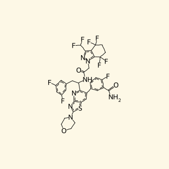 NC(=O)c1cc(-c2cc3sc(N4CCOCC4)nc3nc2C(Cc2cc(F)cc(F)c2)NC(=O)Cn2nc(C(F)F)c3c2C(F)(F)CCC3(F)F)ccc1F